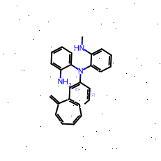 C=C1C=CC=CC=C1/C=C(\C=C/C)N(c1ccccc1N)c1ccccc1NC